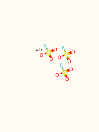 O=S(=O)([O-])F.O=S(=O)([O-])F.O=S(=O)([O-])F.[Y+3]